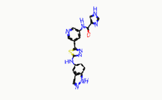 O=C(Nc1cncc(-c2nnc(Nc3ccc4[nH]ncc4c3)s2)c1)c1c[nH]cn1